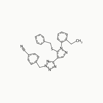 CCc1ccccc1-n1ncc(-c2nnn(Cc3ccc(C#N)cc3)n2)c1SCc1ccccc1